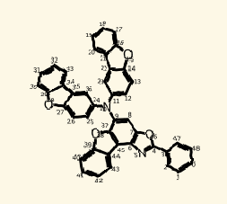 c1ccc(-c2nc3c(cc(N(c4ccc5oc6ccccc6c5c4)c4ccc5oc6ccccc6c5c4)c4oc5ccccc5c43)o2)cc1